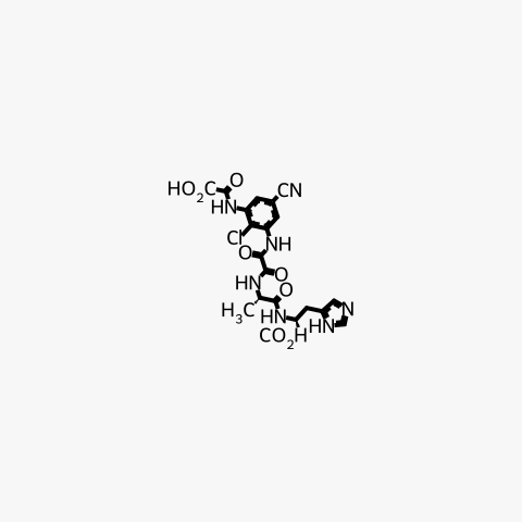 C[C@H](NC(=O)C(=O)Nc1cc(C#N)cc(NC(=O)C(=O)O)c1Cl)C(=O)N[C@@H](Cc1cnc[nH]1)C(=O)O